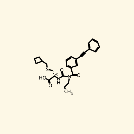 CCCN(C(=O)N[C@@H](CSCC1CCC1)C(=O)O)C(=O)c1cccc(C#Cc2ccccc2)c1